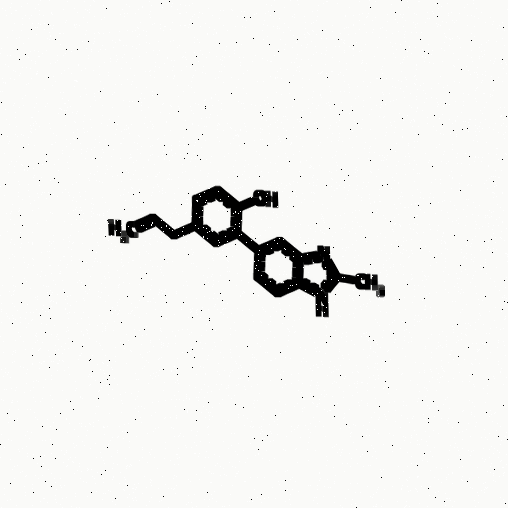 C=CCc1ccc(O)c(-c2ccc3[nH]c(C)nc3c2)c1